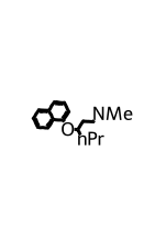 CCCC(CCNC)Oc1cccc2ccccc12